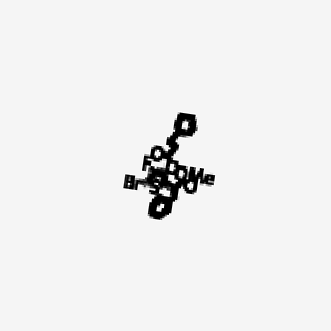 COC(=O)C(=Cc1ccccc1)[C@H]1S[C@H](Br)[C@@H](F)[C@@H]1OC(=O)C=Cc1ccccc1